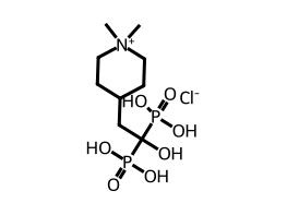 C[N+]1(C)CCC(CC(O)(P(=O)(O)O)P(=O)(O)O)CC1.[Cl-]